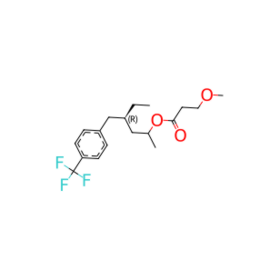 CC[C@H](Cc1ccc(C(F)(F)F)cc1)CC(C)OC(=O)CCOC